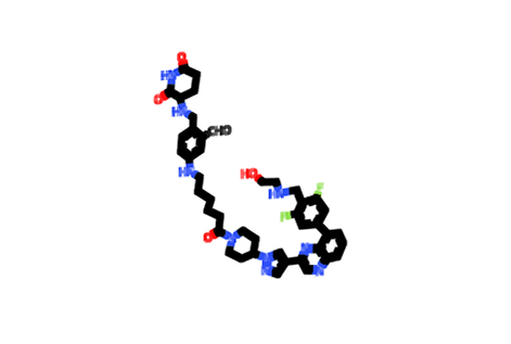 O=Cc1cc(NCCCCCC(=O)N2CCC(n3cc(-c4cnc5cccc(-c6cc(F)c(CNCCO)c(F)c6)c5n4)cn3)CC2)ccc1CNC1CCC(=O)NC1=O